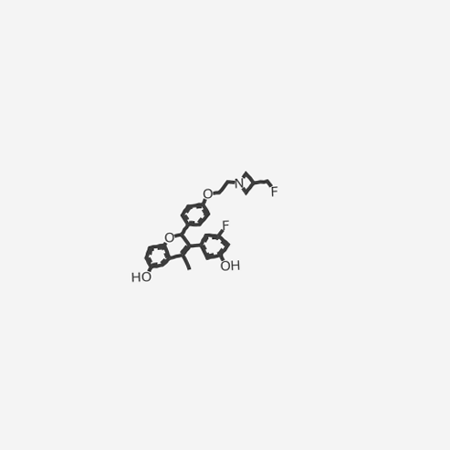 CC1=C(c2cc(O)cc(F)c2)C(c2ccc(OCCN3CC(CF)C3)cc2)Oc2ccc(O)cc21